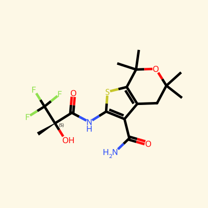 CC1(C)Cc2c(sc(NC(=O)[C@](C)(O)C(F)(F)F)c2C(N)=O)C(C)(C)O1